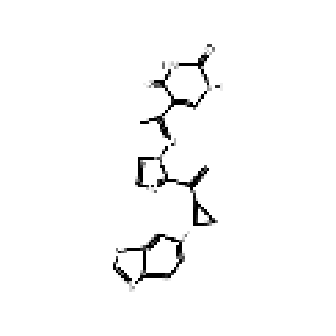 C=C(c1nccn1/N=C(\C)c1c[nH]c(=O)[nH]c1=O)[C@H]1C[C@@H]1c1ccc2ncsc2c1